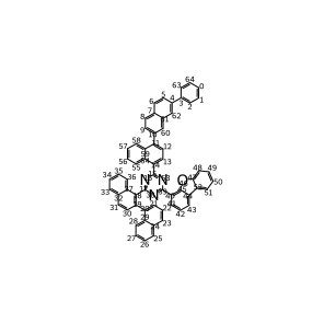 c1ccc(-c2ccc3ccc(-c4ccc(-c5nc(-c6c(-c7cccc8ccccc78)ccc7ccccc67)nc(-c6cccc7c6oc6ccccc67)n5)c5ccccc45)cc3c2)cc1